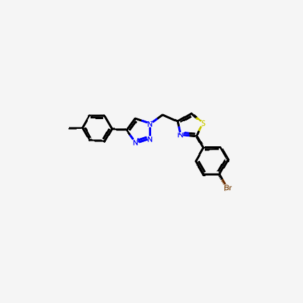 Cc1ccc(-c2cn(Cc3csc(-c4ccc(Br)cc4)n3)nn2)cc1